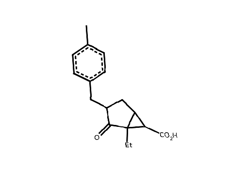 CCC12C(=O)C(Cc3ccc(C)cc3)CC1C2C(=O)O